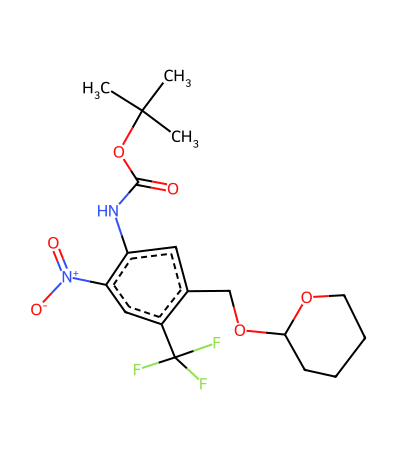 CC(C)(C)OC(=O)Nc1cc(COC2CCCCO2)c(C(F)(F)F)cc1[N+](=O)[O-]